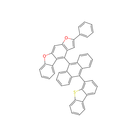 c1ccc(-c2cc3c(-c4c5ccccc5c(-c5cccc6c5sc5ccccc56)c5ccccc45)c4c(cc3o2)oc2ccccc24)cc1